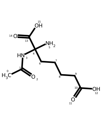 CC(=O)NC(N)(CCCCC(=O)O)C(=O)O